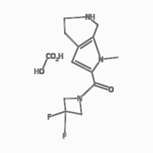 Cn1c(C(=O)N2CC(F)(F)C2)cc2c1CNCC2.O=C(O)O